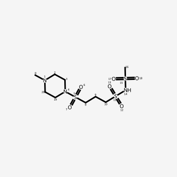 CN1CCN(S(=O)(=O)CCCS(=O)(=O)NS(C)(=O)=O)CC1